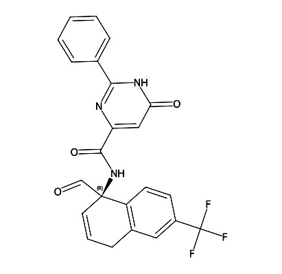 O=C[C@@]1(NC(=O)c2cc(=O)[nH]c(-c3ccccc3)n2)C=CCc2cc(C(F)(F)F)ccc21